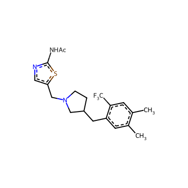 CC(=O)Nc1ncc(CN2CCC(Cc3cc(C)c(C)cc3C(F)(F)F)C2)s1